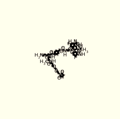 CN/C(=N\C=N)[C@H]1C(=N)c2c(C(N)=O)cc(F)cc2N(C(=O)OCCNC(=O)OCc2ccc(NC(=O)C(CCCCN)NC(=O)[C@H](C)NC(=O)CCOCCOCCN3C(=O)C=CC3=O)cc2)[C@@H]1c1ccc(F)cc1